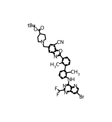 Cc1c(Nc2nc(C(F)F)nc3cc(Br)cnc23)cccc1-c1cccc(-c2nc3cc(CN4CCC(C(=O)OC(C)(C)C)CC4)cc(C#N)c3o2)c1C